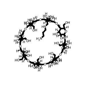 NCCCNC[C@H]1O[C@@H]2O[C@H]3[C@H](O)[C@@H](O)[C@@H](O[C@H]4[C@H](O)[C@@H](O)[C@@H](O[C@H]5[C@H](O)[C@H](O)[C@@H](O[C@H]6[C@H](O)[C@@H](O)[C@@H](O[C@H]7[C@H](O)[C@@H](O)[C@@H](O[C@H]8[C@H](O)[C@@H](O)[C@@H](O[C@H]9[C@H](O)[C@@H](O)[C@@H](O[C@H]1[C@H](O)[C@H]2O)O[C@@H]9CO)O[C@@H]8CO)O[C@@H]7CO)O[C@@H]6CO)O[C@@H]5CO)O[C@@H]4CO)O[C@@H]3CO